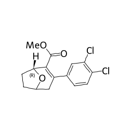 COC(=O)C1=C(c2ccc(Cl)c(Cl)c2)CC2CC[C@H]1O2